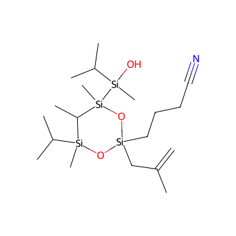 C=C(C)C[Si]1(CCCC#N)O[Si](C)(C(C)C)C(C)[Si](C)([Si](C)(O)C(C)C)O1